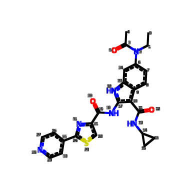 CCN(C(C)=O)c1ccc2c(C(=O)NC3CC3)c(NC(=O)c3csc(-c4ccncc4)n3)[nH]c2c1